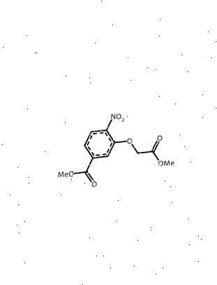 COC(=O)COc1cc(C(=O)OC)ccc1[N+](=O)[O-]